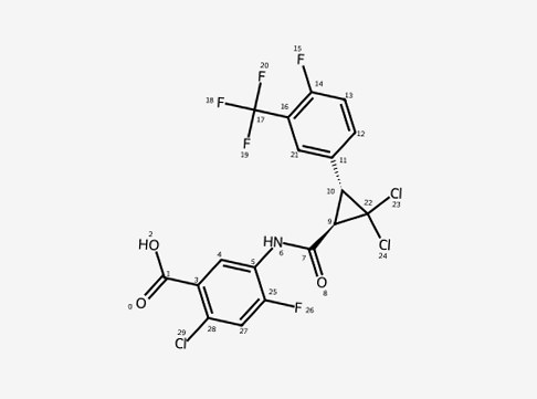 O=C(O)c1cc(NC(=O)[C@H]2[C@H](c3ccc(F)c(C(F)(F)F)c3)C2(Cl)Cl)c(F)cc1Cl